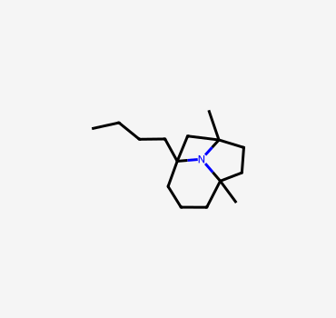 CCCCC12CCCC3(C)CCC(C)(C1)N32